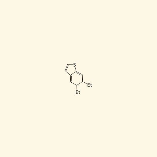 CCC1C=c2ccsc2=CC1CC